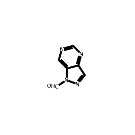 O=Cn1ncc2ncncc21